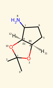 CC1(C)O[C@@H]2CCC(N)[C@@H]2O1